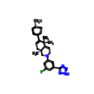 CC1(C)C(c2ccc(C(=O)O)cc2)=CC[C@]2(C)CN(c3cc(F)cc(-c4nn[nH]n4)c3)CC=C12